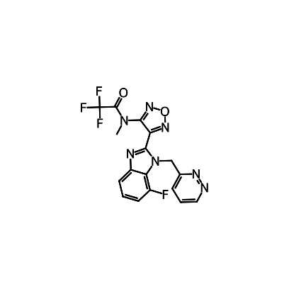 CN(C(=O)C(F)(F)F)c1nonc1-c1nc2cccc(F)c2n1Cc1cccnn1